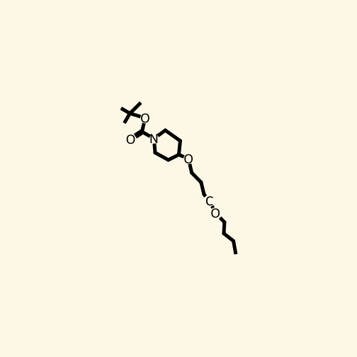 CCCCOCCCCOC1CCN(C(=O)OC(C)(C)C)CC1